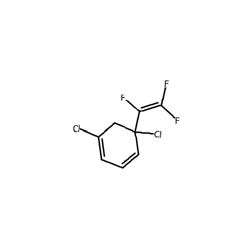 FC(F)=C(F)C1(Cl)C=CC=C(Cl)C1